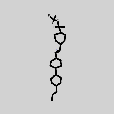 CCCC1CCC(C2CCC(/C=C/C3CCC(C(F)(F)OC(F)(F)F)CC3)CC2)CC1